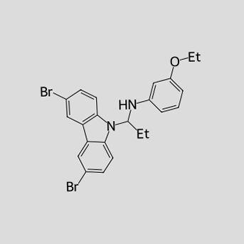 CCOc1cccc(NC(CC)n2c3ccc(Br)cc3c3cc(Br)ccc32)c1